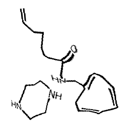 C1CNCCN1.C=CCCC(=O)Nc1ccccc1